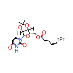 CCC/C=C\CCC(=O)OC[C@H]1O[C@@H](n2ccc(=O)[nH]c2=O)[C@@H]2OC(C)(C)O[C@@H]21